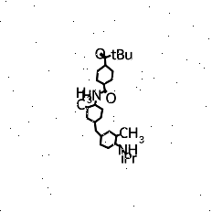 CC(C)NC1CCC(CC2CCC(NC(=O)C3CCC(C(=O)C(C)(C)C)CC3)C(C)C2)CC1C